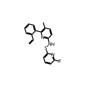 C=Cc1ccccc1-c1nc(NSc2cccc(F)n2)ccc1C